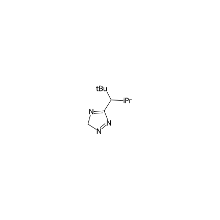 CC(C)C(C1=NCN=N1)C(C)(C)C